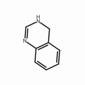 [c]1cccc2c1CNC=N2